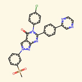 CS(=O)(=O)c1cccc(-n2cc3c(=O)n(-c4ccc(Cl)cc4)c(-c4ccc(-c5cnccn5)cc4)nc3n2)c1